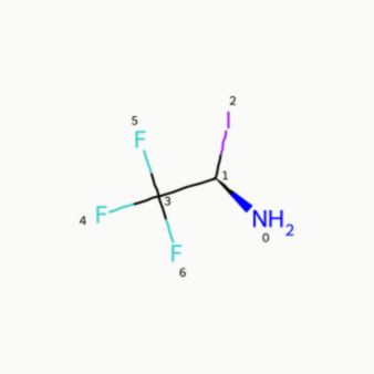 N[C@H](I)C(F)(F)F